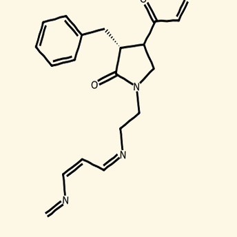 C=N/C=C\C=N/CCN1CC(C(=O)C=O)[C@@H](Cc2ccccc2)C1=O